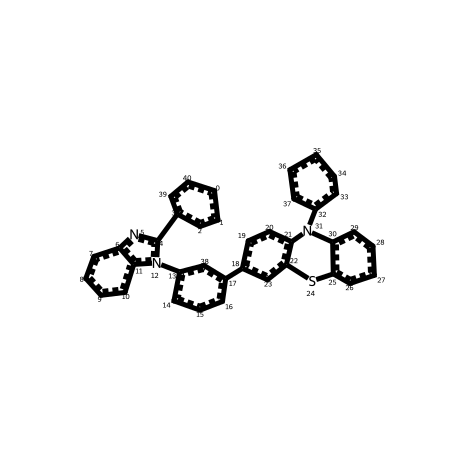 c1ccc(-c2nc3ccccc3n2-c2cccc(-c3ccc4c(c3)Sc3ccccc3N4c3ccccc3)c2)cc1